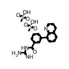 CS(=O)(=O)O.CS(=O)(=O)O.N=C(N)NC(=O)c1cccc(-c2cccc3cccnc23)c1